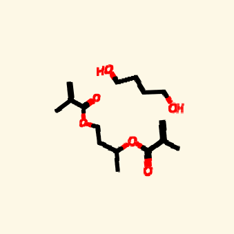 C=C(C)C(=O)OCCC(C)OC(=O)C(=C)C.OCCCCO